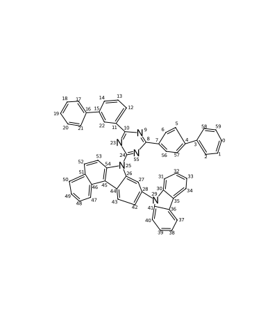 c1ccc(-c2ccc(-c3nc(-c4cccc(-c5ccccc5)c4)nc(-n4c5cc(-n6c7ccccc7c7ccccc76)ccc5c5c6ccccc6ccc54)n3)cc2)cc1